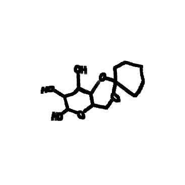 OC1OC2COC3(CCCCC3)OC2C(O)C1O